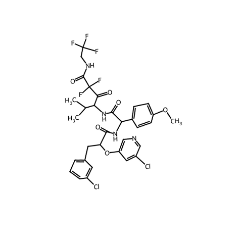 COc1ccc(C(NC(=O)C(Cc2cccc(Cl)c2)Oc2cncc(Cl)c2)C(=O)NC(C(=O)C(F)(F)C(=O)NCC(F)(F)F)C(C)C)cc1